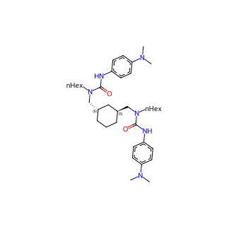 CCCCCCN(C[C@H]1CCC[C@H](CN(CCCCCC)C(=O)Nc2ccc(N(C)C)cc2)C1)C(=O)Nc1ccc(N(C)C)cc1